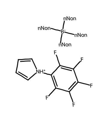 CCCCCCCCC[B-](CCCCCCCCC)(CCCCCCCCC)CCCCCCCCC.Fc1c(F)c(F)c([NH+]2C=CC=C2)c(F)c1F